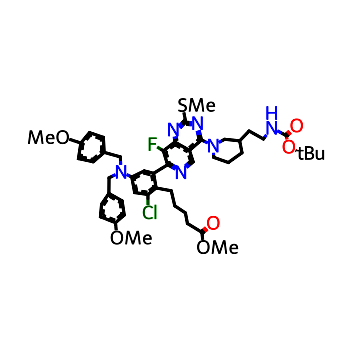 COC(=O)CCCCc1c(Cl)cc(N(Cc2ccc(OC)cc2)Cc2ccc(OC)cc2)cc1-c1ncc2c(N3CCCC(CCNC(=O)OC(C)(C)C)C3)nc(SC)nc2c1F